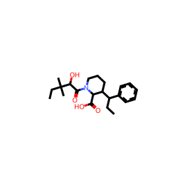 CCC(c1ccccc1)C1CCCN(C(=O)C(O)C(C)(C)CC)C1C(=O)O